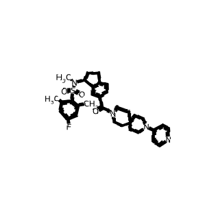 Cc1cc(F)cc(C)c1S(=O)(=O)N(C)C1CCc2ccc(C(=O)N3CCC4(CC3)CCN(c3ccncc3)CC4)cc21